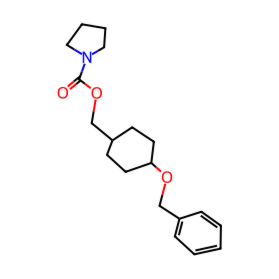 O=C(OCC1CCC(OCc2ccccc2)CC1)N1CCCC1